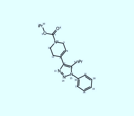 CCCc1c(C2=CCN(C(=O)OC(C)C)CC2)nnn1-c1ccccc1